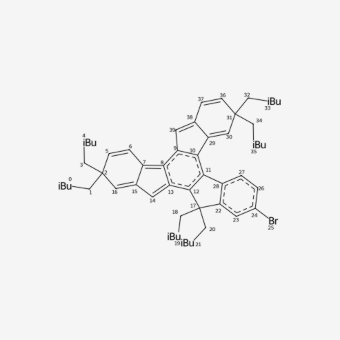 CCC(C)CC1(CC(C)CC)C=CC2=c3c4c(c5c(c3=CC2=C1)C(CC(C)CC)(CC(C)CC)c1cc(Br)ccc1-5)C1=CC(CC(C)CC)(CC(C)CC)C=CC1=C4